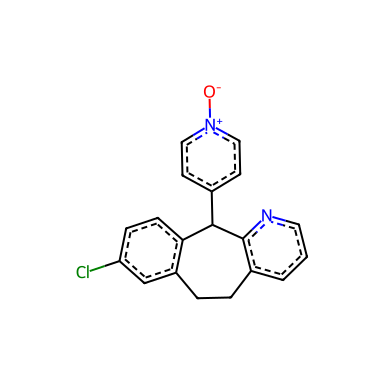 [O-][n+]1ccc(C2c3ccc(Cl)cc3CCc3cccnc32)cc1